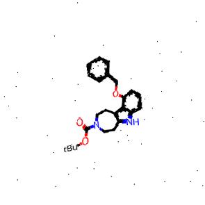 CC(C)(C)OC(=O)N1CCc2[nH]c3cccc(OCc4ccccc4)c3c2CC1